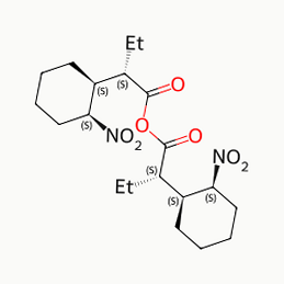 CC[C@H](C(=O)OC(=O)[C@@H](CC)[C@@H]1CCCC[C@@H]1[N+](=O)[O-])[C@@H]1CCCC[C@@H]1[N+](=O)[O-]